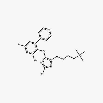 CC(C)c1cc(F)cc(-c2ccncc2)c1Oc1nc(Br)nn1COCC[Si](C)(C)C